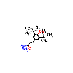 CCC(C)(C)c1cc(CCC(=O)NN)cc(C(C)(C)CC)c1O